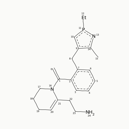 C=C(c1ccccc1Cc1cp(CC)nc1C)N1CCCC=C1CCN